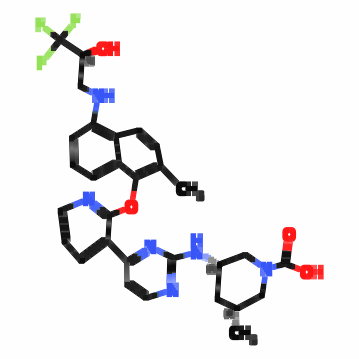 Cc1ccc2c(NC[C@H](O)C(F)(F)F)cccc2c1Oc1ncccc1-c1ccnc(N[C@H]2C[C@@H](C)CN(C(=O)O)C2)n1